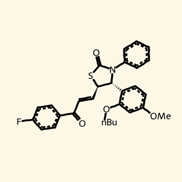 CCCCOc1cc(OC)ccc1[C@@H]1[C@@H](/C=C/C(=O)c2ccc(F)cc2)SC(=O)N1c1ccccc1